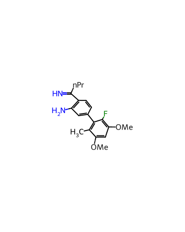 CCCC(=N)c1ccc(-c2c(C)c(OC)cc(OC)c2F)cc1N